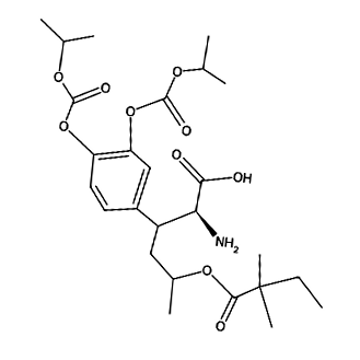 CCC(C)(C)C(=O)OC(C)CC(c1ccc(OC(=O)OC(C)C)c(OC(=O)OC(C)C)c1)[C@H](N)C(=O)O